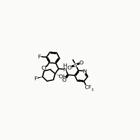 CS(=O)(=O)c1ncc(C(F)(F)F)cc1C(=O)NC(c1cccc(F)c1Cl)[C@]1(O)CC[C@H](F)CC1